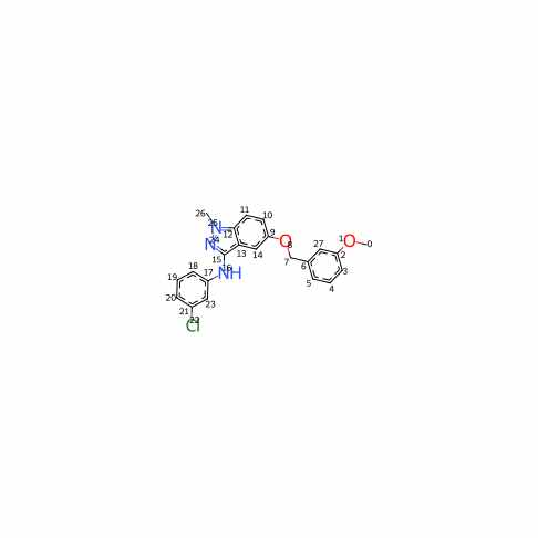 COc1cccc(COc2ccc3c(c2)c(Nc2cccc(Cl)c2)nn3C)c1